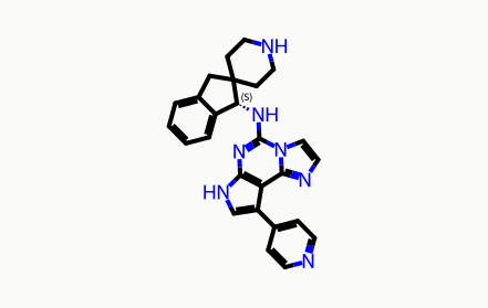 c1ccc2c(c1)CC1(CCNCC1)[C@@H]2Nc1nc2[nH]cc(-c3ccncc3)c2c2nccn12